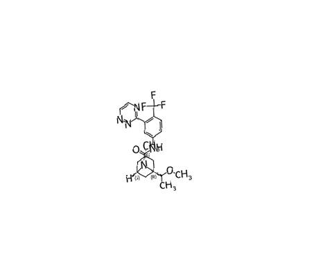 COC(C)[C@@]12C[C@@H](C)C[C@@H](C1)N2C(=O)Nc1ccc(C(F)(F)F)c(-c2nccnn2)c1